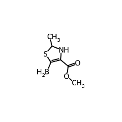 BC1=C(C(=O)OC)NC(C)S1